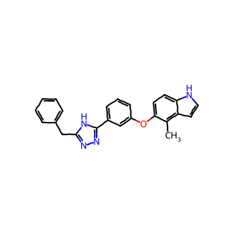 Cc1c(Oc2cccc(-c3nnc(Cc4ccccc4)[nH]3)c2)ccc2[nH]ccc12